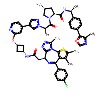 Cc1ncoc1-c1ccc([C@H](C)NC(=O)[C@@H]2C[C@@H](C)CN2C(=O)[C@@H](C(C)C)n2cc(-c3ccnc(O[C@H]4C[C@@H](NC(=O)C[C@@H]5N=C(c6ccc(Cl)cc6)c6c(sc(C)c6C)-n6c(C)nnc65)C4)c3)cn2)cc1